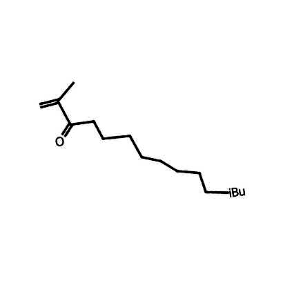 C=C(C)C(=O)CCCCCCCCC(C)CC